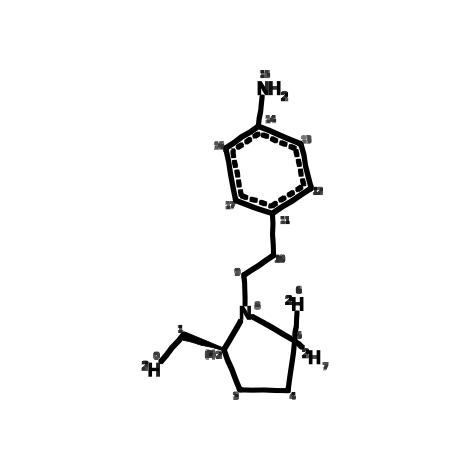 [2H]C[C@@H]1CCC([2H])([2H])N1CCc1ccc(N)cc1